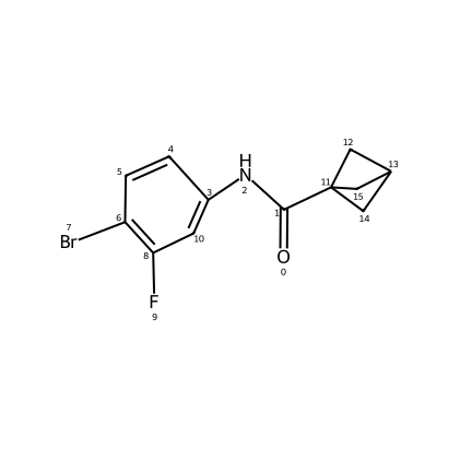 O=C(Nc1ccc(Br)c(F)c1)C12CC(C1)C2